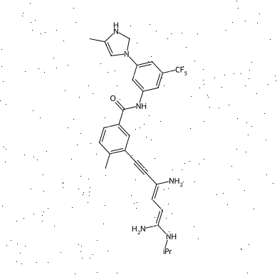 CC1=CN(c2cc(NC(=O)c3ccc(C)c(C#C/C(N)=C/C=C(\N)NC(C)C)c3)cc(C(F)(F)F)c2)CN1